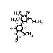 CCCn1cc(-c2cc(F)c(CC=O)c(OC)c2)c(C)c(C)c1=O